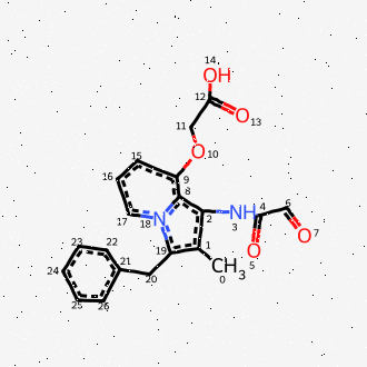 Cc1c(NC(=O)C=O)c2c(OCC(=O)O)cccn2c1Cc1ccccc1